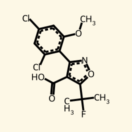 COc1cc(Cl)cc(Cl)c1-c1noc(C(C)(C)F)c1C(=O)O